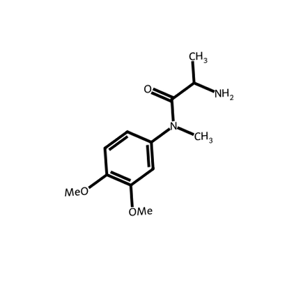 COc1ccc(N(C)C(=O)C(C)N)cc1OC